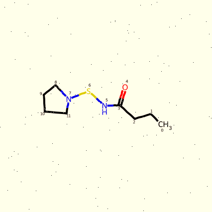 CCCC(=O)NSN1CCCC1